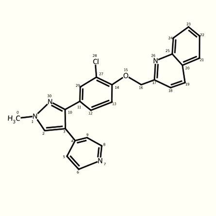 Cn1cc(-c2ccncc2)c(-c2ccc(OCc3ccc4ccccc4n3)c(Cl)c2)n1